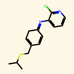 CC(C)SCC1=CCC(=Nc2cccnc2Cl)C=C1